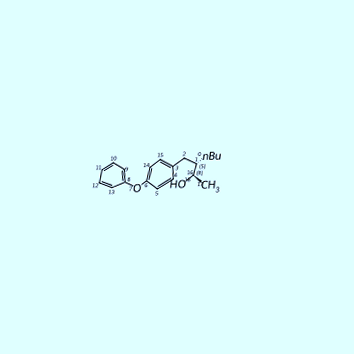 CCCC[C@@H](Cc1ccc(Oc2ccccc2)cc1)[C@@H](C)O